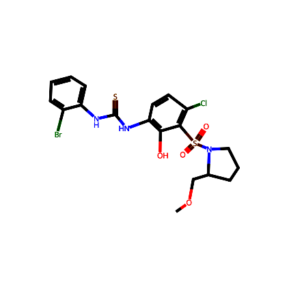 COCC1CCCN1S(=O)(=O)c1c(Cl)ccc(NC(=S)Nc2ccccc2Br)c1O